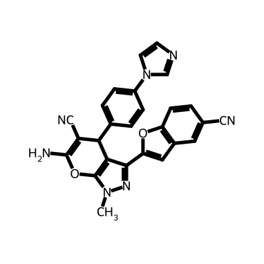 Cn1nc(-c2cc3cc(C#N)ccc3o2)c2c1OC(N)=C(C#N)C2c1ccc(-n2ccnc2)cc1